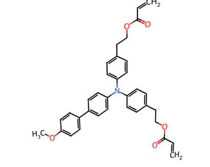 C=CC(=O)OCCc1ccc(N(c2ccc(CCOC(=O)C=C)cc2)c2ccc(-c3ccc(OC)cc3)cc2)cc1